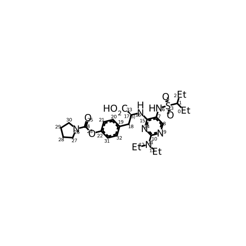 CCC(CC)S(=O)(=O)Nc1cnc(N(CC)CC)nc1N[C@@H](Cc1ccc(OC(=O)N2CCCC2)cc1)C(=O)O